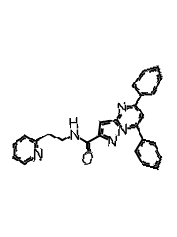 O=C(NCCc1ccccn1)c1cc2nc(-c3ccccc3)cc(-c3ccccc3)n2n1